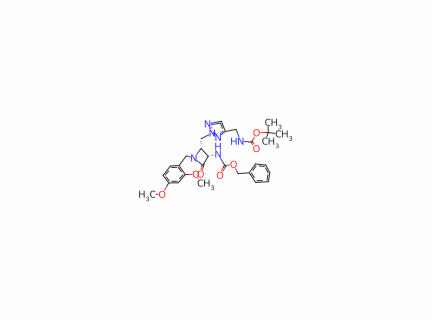 COc1ccc(CN2C(=O)[C@@H](NC(=O)OCc3ccccc3)[C@H]2Cn2ncc(CNC(=O)OC(C)(C)C)n2)c(OC)c1